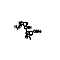 COc1ccc2c(c1)c(-c1cc3c(ncc4cnn(C)c43)[nH]1)cn2C